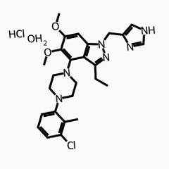 CCc1nn(Cc2c[nH]cn2)c2cc(OC)c(OC)c(N3CCN(c4cccc(Cl)c4C)CC3)c12.Cl.O